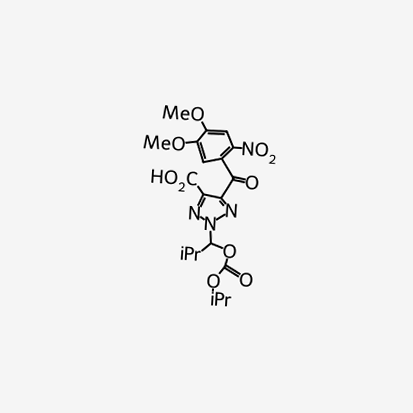 COc1cc(C(=O)c2nn(C(OC(=O)OC(C)C)C(C)C)nc2C(=O)O)c([N+](=O)[O-])cc1OC